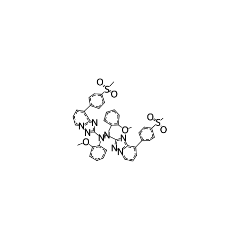 COc1ccccc1N(c1nc2c(-c3ccc(S(C)(=O)=O)cc3)cccn2n1)N(c1nc2c(-c3ccc(S(C)(=O)=O)cc3)cccn2n1)c1ccccc1OC